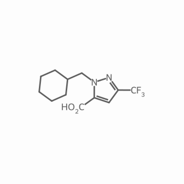 O=C(O)c1cc(C(F)(F)F)nn1CC1CCCCC1